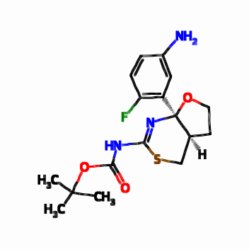 CC(C)(C)OC(=O)NC1=N[C@@]2(c3cc(N)ccc3F)OCC[C@H]2CS1